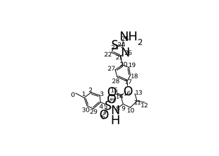 Cc1ccc(S(=O)(=O)NC(CC(C)C)C(=O)Oc2ccc(-c3csc(N)n3)cc2)cc1